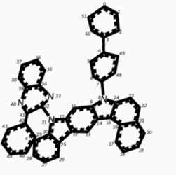 c1ccc(-c2ccc(-n3c4cc5c(cc4c4c6ccccc6ccc43)c3ccccc3n5-c3nc4ccccc4nc3-c3ccccc3)cc2)cc1